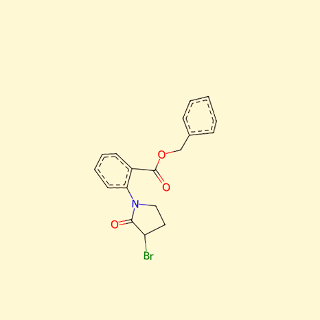 O=C(OCc1ccccc1)c1ccccc1N1CCC(Br)C1=O